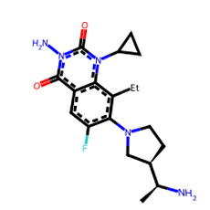 CCc1c(N2CC[C@@H]([C@H](C)N)C2)c(F)cc2c(=O)n(N)c(=O)n(C3CC3)c12